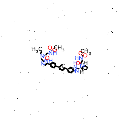 CCCN(Cc1ncc(-c2ccc(-c3ccc(-c4ccc5nc([C@@H]6[C@H]7CC[C@H](C7)N6C(=O)CNC(=O)OC)[nH]c5c4)cc3)cc2)[nH]1)C(=O)CNC(=O)OC